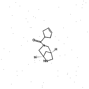 O=C(C1CC=CC1)N1C[C@H]2CN[C@H](C2)C1